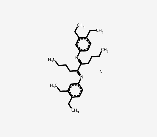 CCCCC(=Nc1ccc(CC)c(CC)c1)C(CCCC)=Nc1ccc(CC)c(CC)c1.[Ni]